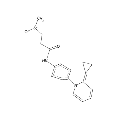 C[S+]([O-])CCC(=O)Nc1ccc(N2C=CC=CC2=C2CC2)cc1